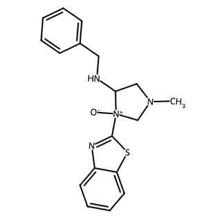 CN1CC(NCc2ccccc2)[N+]([O-])(c2nc3ccccc3s2)C1